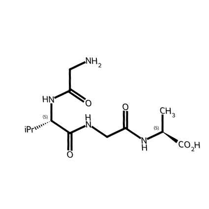 CC(C)[C@H](NC(=O)CN)C(=O)NCC(=O)N[C@@H](C)C(=O)O